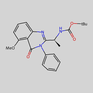 COc1cccc2nc([C@H](C)NC(=O)OC(C)(C)C)n(-c3ccccc3)c(=O)c12